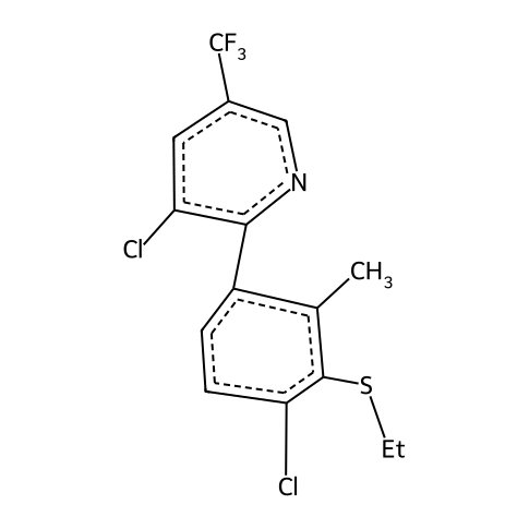 CCSc1c(Cl)ccc(-c2ncc(C(F)(F)F)cc2Cl)c1C